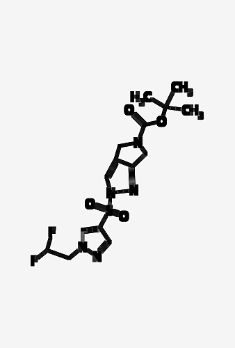 CC(C)(C)OC(=O)N1Cc2cn(S(=O)(=O)c3cnn(CC(F)F)c3)nc2C1